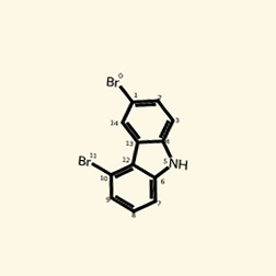 Brc1ccc2[nH]c3cccc(Br)c3c2c1